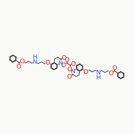 O=C(ON1C(=O)CCc2c(OCCCNCCCOC(=O)c3ccccc3)cccc21)C(=O)ON1C(=O)CCc2c(OCCCNCCCOC(=O)c3ccccc3)cccc21